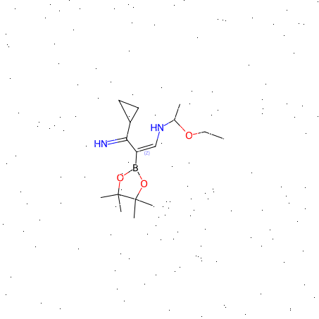 CCOC(C)N/C=C(/B1OC(C)(C)C(C)(C)O1)C(=N)C1CC1